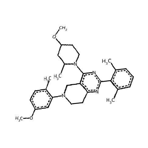 COc1ccc(C)c(N2CCc3nc(-c4c(C)cccc4C)nc(N4CCC(OC)CC4C)c3C2)c1